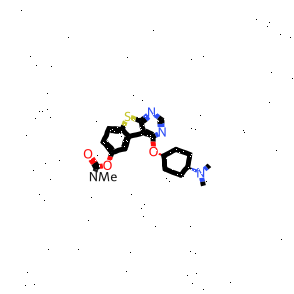 CNC(=O)Oc1ccc2sc3ncnc(O[C@H]4CC[C@H](N(C)C)CC4)c3c2c1